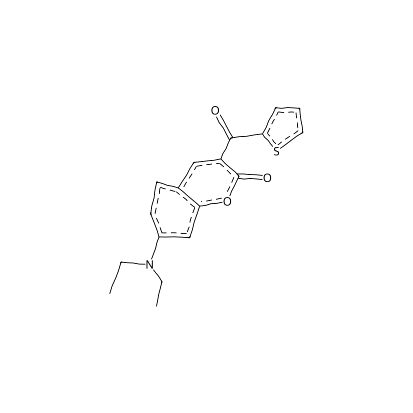 CCN(CC)c1ccc2cc(C(=O)c3cccs3)c(=O)oc2c1